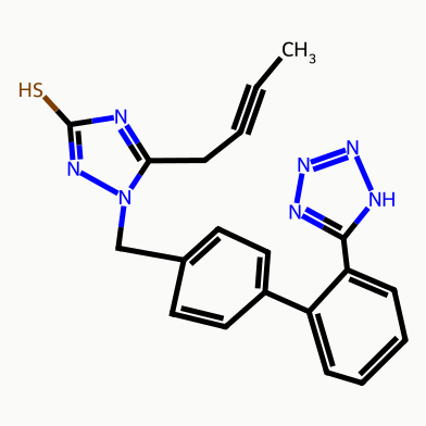 CC#CCc1nc(S)nn1Cc1ccc(-c2ccccc2-c2nnn[nH]2)cc1